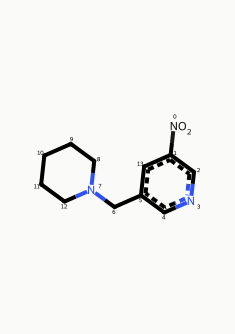 O=[N+]([O-])c1cncc(CN2CCCCC2)c1